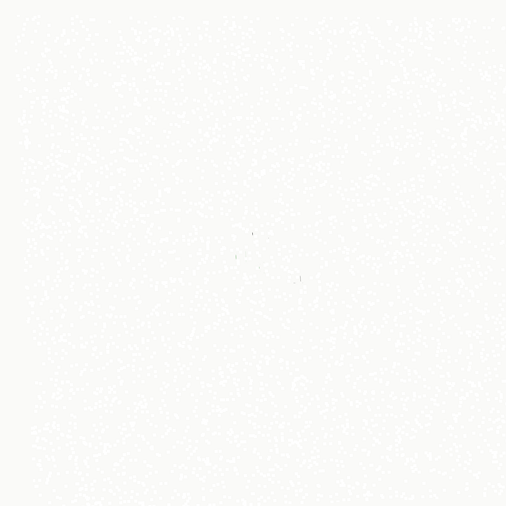 [Cl-].[Cl-].[Cu+].[Cu+]